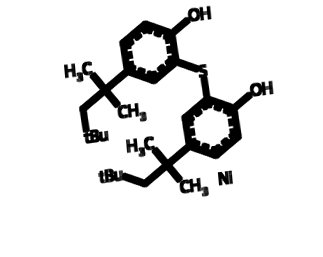 CC(C)(C)CC(C)(C)c1ccc(O)c(Sc2cc(C(C)(C)CC(C)(C)C)ccc2O)c1.[Ni]